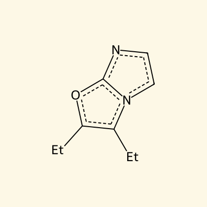 CCc1oc2nccn2c1CC